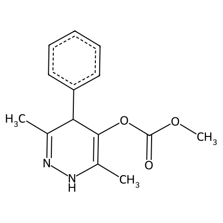 COC(=O)OC1=C(C)NN=C(C)C1c1ccccc1